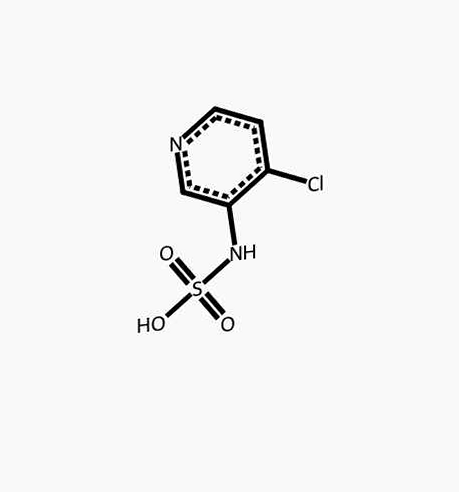 O=S(=O)(O)Nc1cnccc1Cl